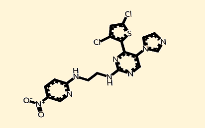 O=[N+]([O-])c1ccc(NCCNc2ncc(-n3ccnc3)c(-c3sc(Cl)cc3Cl)n2)nc1